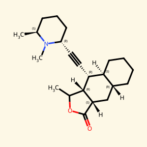 CC1OC(=O)[C@H]2C[C@H]3CCCC[C@@H]3[C@@H](C#C[C@H]3CCC[C@H](C)N3C)[C@@H]12